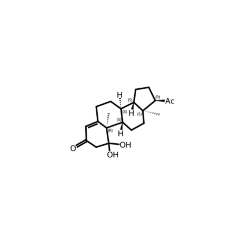 CC(=O)[C@@H]1CC[C@H]2[C@@H]3CCC4=CC(=O)CC(O)(O)[C@]4(C)[C@H]3CC[C@]12C